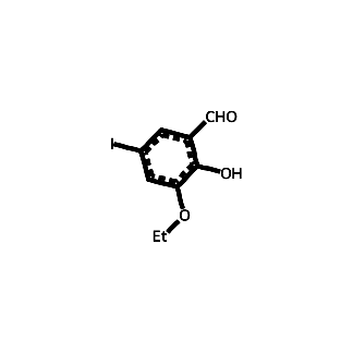 CCOc1cc(I)cc(C=O)c1O